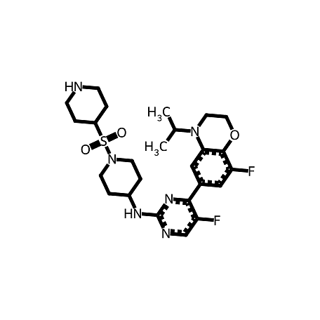 CC(C)N1CCOc2c(F)cc(-c3nc(NC4CCN(S(=O)(=O)C5CCNCC5)CC4)ncc3F)cc21